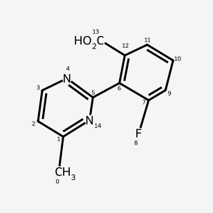 Cc1ccnc(-c2c(F)cccc2C(=O)O)n1